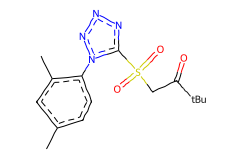 Cc1ccc(-n2nnnc2S(=O)(=O)CC(=O)C(C)(C)C)c(C)c1